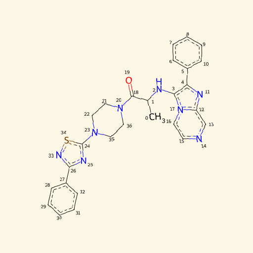 CC(Nc1c(-c2ccccc2)nc2cnccn12)C(=O)N1CCN(c2nc(-c3ccccc3)ns2)CC1